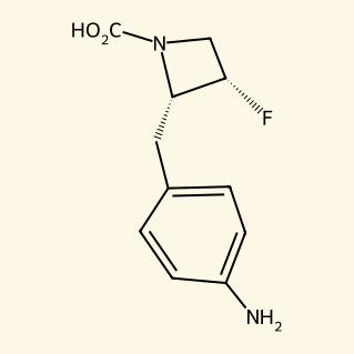 Nc1ccc(C[C@H]2[C@@H](F)CN2C(=O)O)cc1